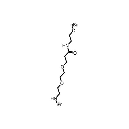 CCCCOCCNC(=O)CCOCCOCCNC(C)C